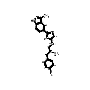 Cc1n[nH]c2ccc(-c3nnc(NC[C@@H](N)Cc4ccc(F)cc4)s3)cc12